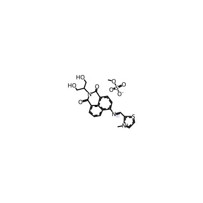 COS(=O)(=O)[O-].C[n+]1ccsc1/C=N/c1ccc2c3c(cccc13)C(=O)N(C(CO)CO)C2=O